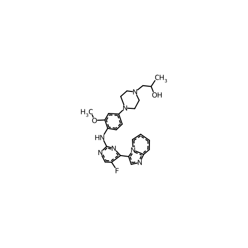 COc1cc(N2CCN(CC(C)O)CC2)ccc1Nc1ncc(F)c(-c2cnc3ccccn23)n1